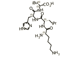 CC[C@H](C)[C@H](NC(=O)[C@H](Cc1c[nH]cn1)NC(=O)[C@H](CC(C)C)NC(=O)[C@@H](N)CCCCN)C(=O)O